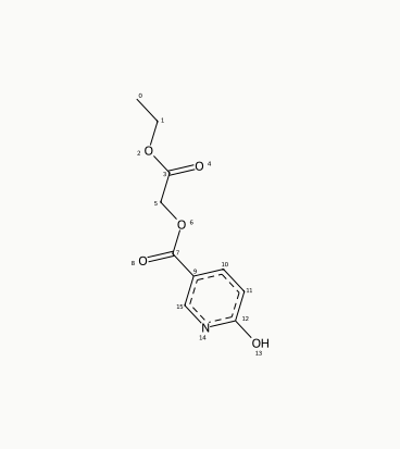 CCOC(=O)COC(=O)c1ccc(O)nc1